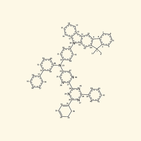 CC1(C)c2ccccc2-c2cc3c4ccccc4n(-c4ccc(N(c5cnc(-c6nc(C7=CC=CCC7)nc(-c7ccccc7)n6)nc5)c5cccc(-c6ccccc6)c5)cc4)c3cc21